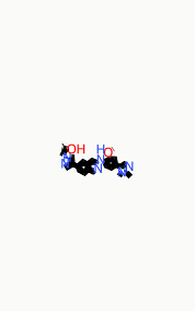 COc1cc(-c2cnc(C)n2C)ccc1Nc1cc2cc(-c3cnn(C[C@H](C)O)c3)ccc2cn1